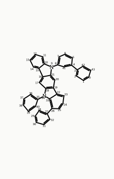 c1ccc(-c2cccc(-n3c4ccccc4c4cc5c(cc43)c3cccc(-c4ccccc4)c3n5-c3ccccc3)c2)cc1